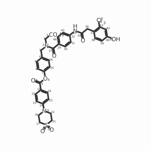 O=C(O)CN(Cc1ccc(OC(=O)c2ccc(N3CCS(=O)(=O)CC3)cc2)cc1)C(=O)c1ccc(NC(=O)Cc2ccc(O)cc2C(F)(F)F)cc1